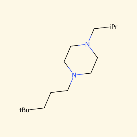 CC(C)CN1CCN(CCCC(C)(C)C)CC1